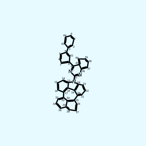 c1ccc(-c2cccc(-c3nc(-n4c5cccc6c5c5c(cccc54)-c4cccc5cccc-6c45)nc4ccccc34)c2)cc1